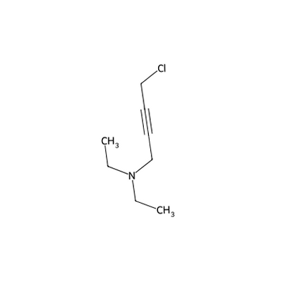 CCN(CC)CC#CCCl